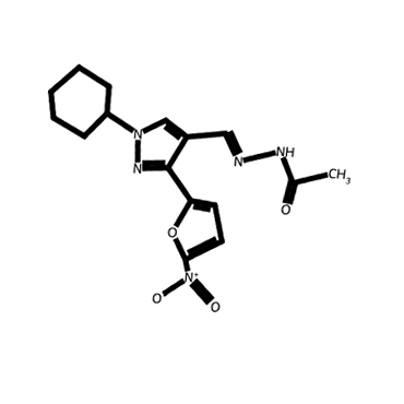 CC(=O)N/N=C/c1cn(C2CCCCC2)nc1-c1ccc([N+](=O)[O-])o1